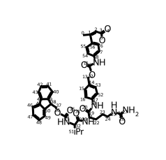 Cc1cc(=O)oc2cc(NC(=O)OCc3ccc(NC(=O)C(CCCNC(N)=O)NC(=O)C(NC(=O)OCC4c5ccccc5-c5ccccc54)C(C)C)cc3)ccc12